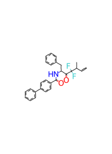 C=CC(C)C(F)(F)C(=O)C(Cc1ccccc1)NC(=O)c1ccc(-c2ccccc2)cc1